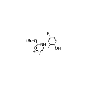 CC(C)(C)OC(=O)N[C@@H](Cc1cc(F)ccc1O)C(=O)O